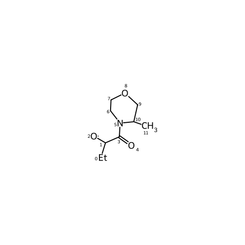 CCC([O])C(=O)N1CCOCC1C